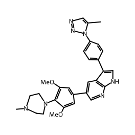 COc1cc(-c2cnc3[nH]cc(-c4ccc(-n5nncc5C)cc4)c3c2)cc(OC)c1N1CCN(C)CC1